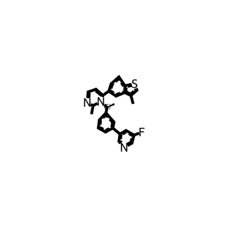 Cc1csc2ccc(C3=CC=NC(C)N3[C@@H](C)c3cccc(-c4cncc(F)c4)c3)cc12